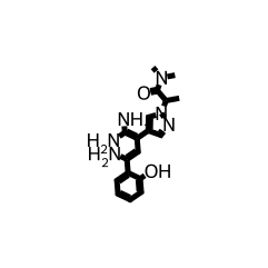 CC(C(=O)N(C)C)n1cc(C(/C=C(\N)c2ccccc2O)=C(N)N)cn1